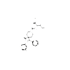 CCC(C)[C@H](NC(=O)N1CCC2(CC1)C(=O)N(c1cncc(F)c1)C2c1ccccn1)C(=O)OC